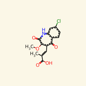 COc1c(C=C(C)C(=O)O)c(=O)c2ccc(Cl)cc2[nH]c1=O